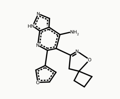 Nc1c(C2=NOC3(CCC3)C2)c(-c2ccoc2)nc2[nH]ncc12